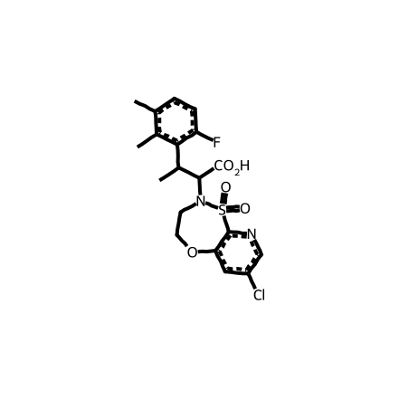 Cc1ccc(F)c(C(C)C(C(=O)O)N2CCOc3cc(Cl)cnc3S2(=O)=O)c1C